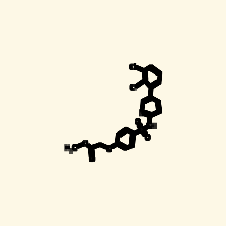 COC(=O)COc1ccc(S(=O)(=O)Nc2ccc(-c3cccc(Cl)c3Cl)cn2)cc1